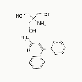 CC(=O)C=C(c1ccccc1)c1ccccc1.NC(CO)(CO)CO